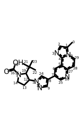 Cc1cnc2c3cc(-c4cnn(C5CCN(C(=O)O)C5C(C)(C)C)c4)cnc3ccn12